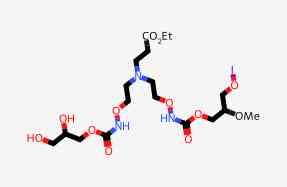 CCOC(=O)CCN(CCONC(=O)OCC(O)CO)CCONC(=O)OCC(COI)OC